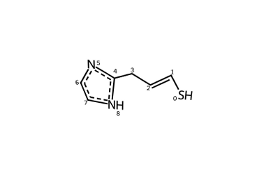 SC=CCc1ncc[nH]1